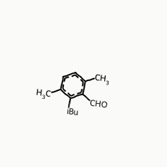 CCC(C)c1c(C)ccc(C)c1C=O